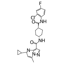 Cc1cc(C2CC2)nc2c(C(=O)N[C@H]3CC[C@H](C(=O)Nc4ccc(F)cc4Cl)CC3)cnn12